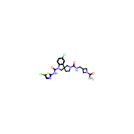 CC(=O)N1CC(CNC(=O)N2CCC3(C2)CN(C(=O)Nc2ncc(Cl)s2)c2ccc(Cl)cc23)C1